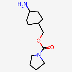 NC1CCC(COC(=O)N2CCCC2)CC1